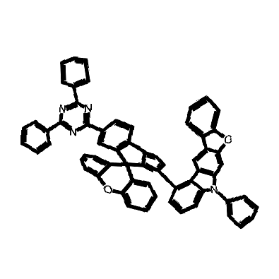 c1ccc(-c2nc(-c3ccccc3)nc(-c3ccc4c(c3)C3(c5ccccc5Oc5ccccc53)c3cc(-c5cccc6c5c5cc7c(cc5n6-c5ccccc5)oc5ccccc57)ccc3-4)n2)cc1